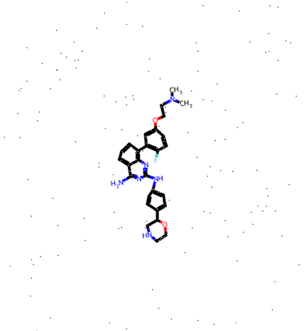 CN(C)CCOc1ccc(F)c(-c2cccc3c(N)nc(Nc4ccc(C5CNCCO5)cc4)nc23)c1